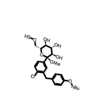 CCCCOc1ccc(Cc2cc([C@]3(OC)O[C@H](COS)[C@@H](O)[C@H](O)[C@H]3O)ccc2Cl)cc1